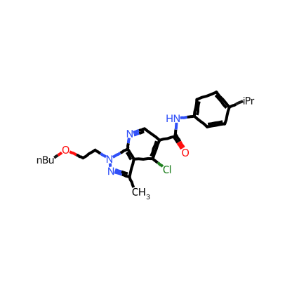 CCCCOCCn1nc(C)c2c(Cl)c(C(=O)Nc3ccc(C(C)C)cc3)cnc21